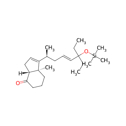 CCC(/C=C/C[C@H](C)C1=CC[C@H]2C(=O)CCC[C@]12C)(CC)O[Si](C)(C)C